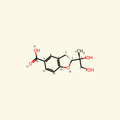 C[C@@](O)(CO)[C@H]1Cc2cc(C(=O)O)ccc2O1